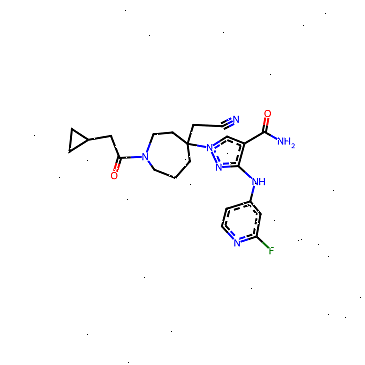 N#CCC1(n2cc(C(N)=O)c(Nc3ccnc(F)c3)n2)CCCN(C(=O)CC2CC2)CC1